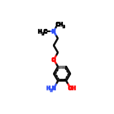 CN(C)CCCOc1ccc(O)c(N)c1